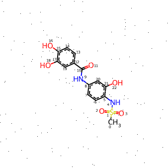 CS(=O)(=O)Nc1ccc(NC(=O)c2ccc(O)c(O)c2)cc1O